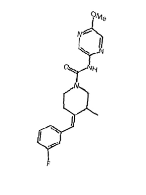 COc1cnc(NC(=O)N2CC/C(=C\c3cccc(F)c3)C(C)C2)cn1